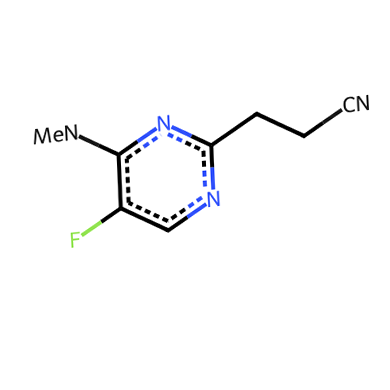 CNc1nc(CCC#N)ncc1F